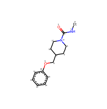 CCNC(=O)N1CCC(COc2cc[c]cc2)CC1